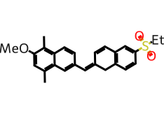 CCS(=O)(=O)c1ccc2c(c1)C=CC(=Cc1ccc3c(C)c(OC)cc(C)c3c1)C2